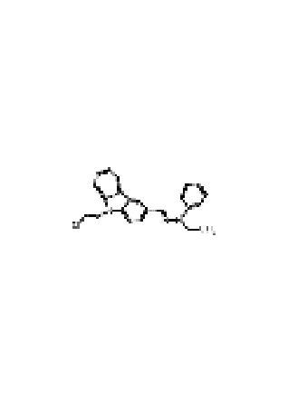 CCN(N=Cc1ccc2c(c1)c1ccccc1n2CCCl)c1ccccc1